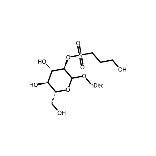 CCCCCCCCCCOC1O[C@H](CO)[C@@H](O)[C@H](O)[C@H]1OS(=O)(=O)CCCO